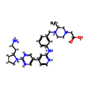 CC1CN(CC(=O)O)CCN1Cc1cccc(Nc2cc(-c3cnc(N4CCCC4CCN)nc3)ccn2)c1